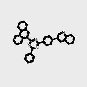 c1ccc(-c2nc(-c3ccc(-c4cnc5ccccc5c4)cc3)nc(-c3cc4ccccc4c4ccccc34)n2)cc1